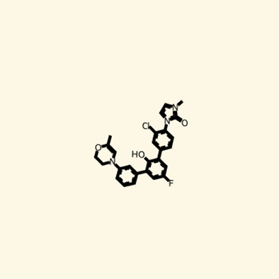 CC1=CN(c2cccc(-c3cc(F)cc(-c4ccc(-n5ccn(C)c5=O)c(Cl)c4)c3O)c2)CCO1